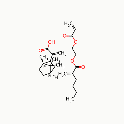 C=C(C(=O)O)C1C[C@H]2CC[C@@]1(C)C2(C)C.C=CC(=O)OCCOC(=O)C(=C)CCCC